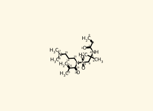 C=CC(=O)NC(C)(C)CS(=O)(=O)N(CCCN(C)C)C(=O)C(=C)C